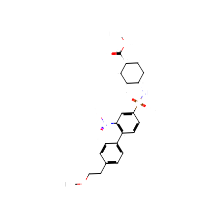 COCCc1ccc(-c2ccc(S(=O)(=O)N[C@H]3CC[C@H](C(=O)OC)CC3)cc2[N+](=O)[O-])cc1